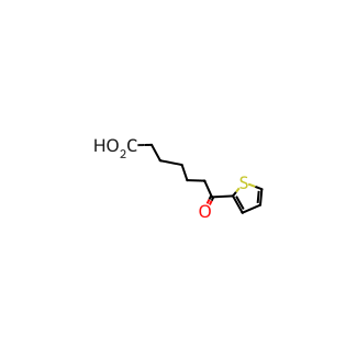 O=C(O)CCCCCC(=O)c1cccs1